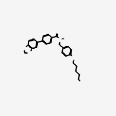 CCCN(Cc1ccc(OCCCCCC(=O)OCC)cc1)C(=O)c1ccc(-c2ccc3c(c2)OCO3)cc1